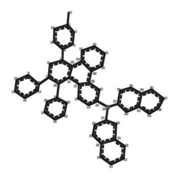 Cc1ccc(-c2cc(-c3ccccc3)c(-c3ccccc3)c3c4ccc(N(c5ccc6ccccc6c5)c5ccc6ccccc6c5)cc4c4ccccc4c23)cc1